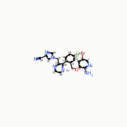 C[C@@H](Oc1cc(Br)cnc1N)c1cc(F)ccc1-c1nccnc1Cn1cnc(C#N)c1